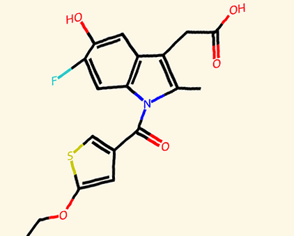 CCOc1cc(C(=O)n2c(C)c(CC(=O)O)c3cc(O)c(F)cc32)cs1